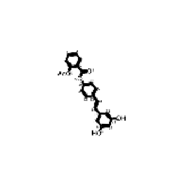 CC(=O)Oc1ccccc1C(=O)Oc1ccc(C=Cc2cc(O)cc(O)c2)cc1